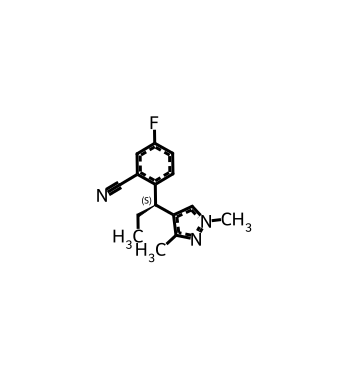 CC[C@@H](c1ccc(F)cc1C#N)c1cn(C)nc1C